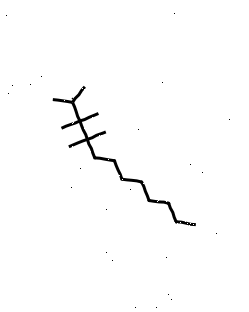 CCCCCCCCC(C)(C)C(C)(C)[C](C)C